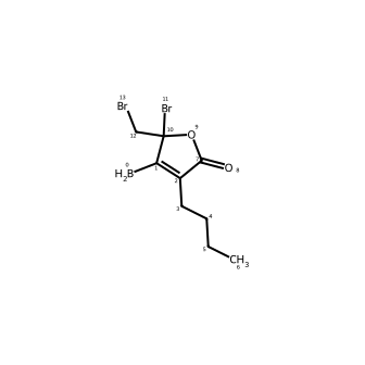 BC1=C(CCCC)C(=O)OC1(Br)CBr